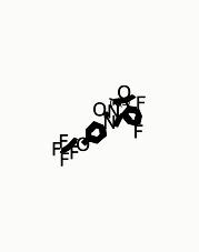 C[C@@H](N1CCN(c2ccc(OCC(F)(F)C(F)F)cc2)C1=O)[C@@]1(c2ccc(F)cc2F)CO1